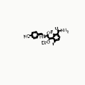 CCOC(C(=O)NCc1ccc(C#N)cc1)c1c(F)ccc(C(N)=O)c1F